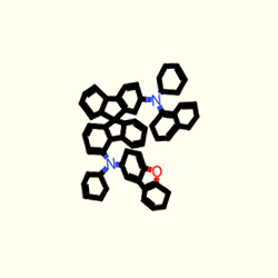 C1=CC2C3=C(CC(N(C4=C5C=CCCC5=CCC4)C4CC=CCC4)C=C3)C3(C2C=C1)C1C=CC=CC1C1C(N(C2C=c4c5c(oc4=CC2)CCC=C5)C2CC=CCC2)=CC=CC13